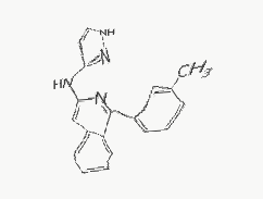 Cc1cccc(-c2nc(Nc3cc[nH]n3)cc3ccccc23)c1